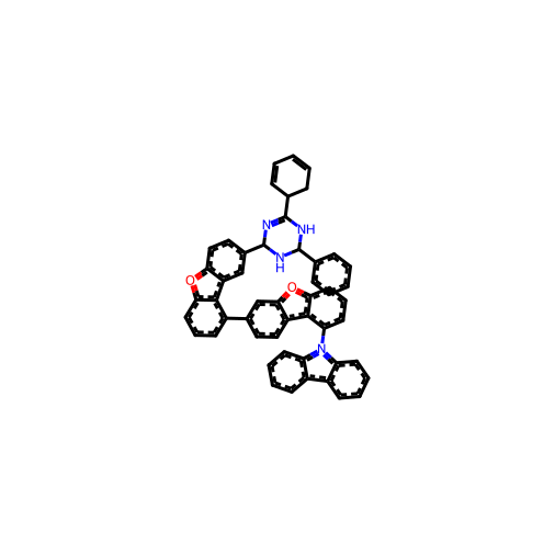 C1=CCC(C2=NC(c3ccc4oc5cccc(-c6ccc7c(c6)oc6cccc(-n8c9ccccc9c9ccccc98)c67)c5c4c3)NC(c3ccccc3)N2)C=C1